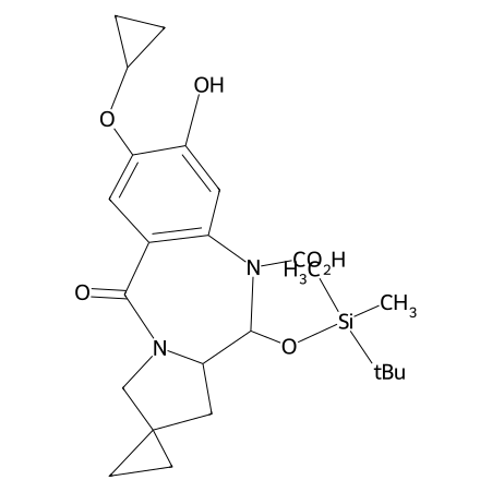 CC(C)(C)[Si](C)(C)OC1C2CC3(CC3)CN2C(=O)c2cc(OC3CC3)c(O)cc2N1C(=O)O